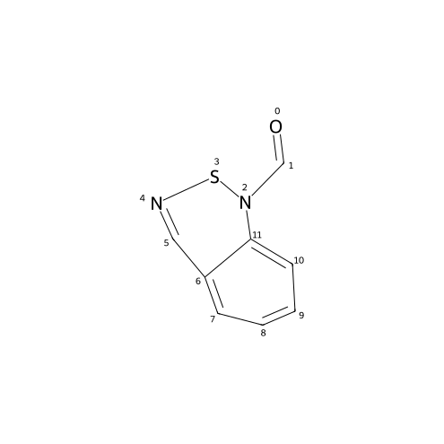 O=CN1SN=Cc2ccccc21